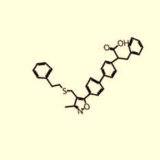 Cc1noc(-c2ccc(-c3ccc(C(Cc4ccccc4)C(=O)O)cc3)cc2)c1CSCCc1ccccc1